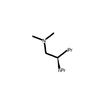 CCC[C@@H](CN(C)C)C(C)C